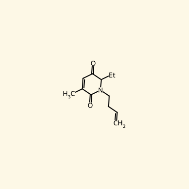 C=CCCN1C(=O)C(C)=CC(=O)C1CC